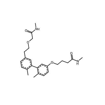 CNC(=O)CCCOc1ccc(C)c(-c2cc(CCOCC(=O)NC)ccc2C)c1